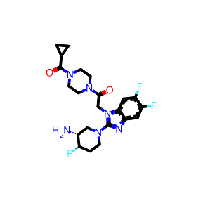 N[C@@H]1CN(c2nc3cc(F)c(F)cc3n2CC(=O)N2CCN(C(=O)C3CC3)CC2)CC[C@H]1F